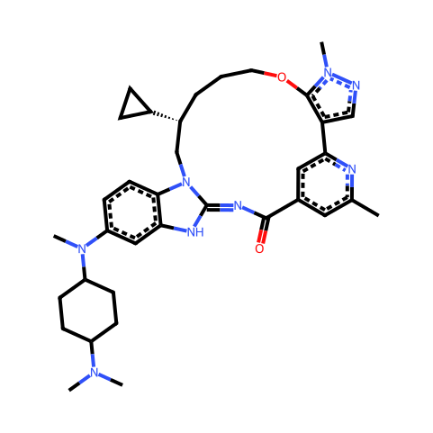 Cc1cc2cc(n1)-c1cnn(C)c1OCCC[C@@H](C1CC1)CN1/C(=N/C2=O)Nc2cc(N(C)C3CCC(N(C)C)CC3)ccc21